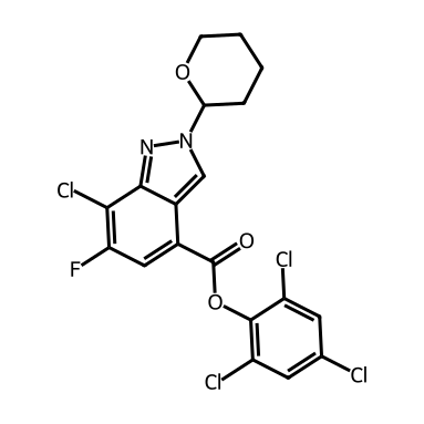 O=C(Oc1c(Cl)cc(Cl)cc1Cl)c1cc(F)c(Cl)c2nn(C3CCCCO3)cc12